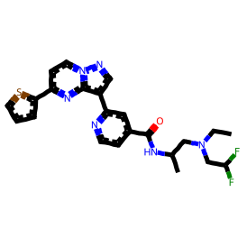 CCN(CC(F)F)CC(C)NC(=O)c1ccnc(-c2cnn3ccc(-c4cccs4)nc23)c1